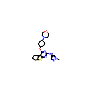 Cn1cc(Nc2nc(OC3CCC(N4CCOCC4)CC3)c3c4c(sc3n2)CCC4)cn1